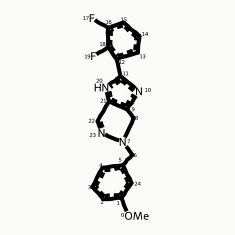 COc1cccc(CN2Cc3nc(-c4cccc(F)c4F)[nH]c3C=N2)c1